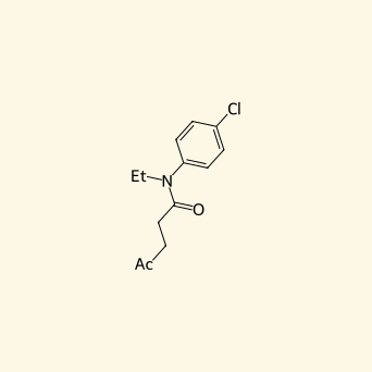 CCN(C(=O)CCC(C)=O)c1ccc(Cl)cc1